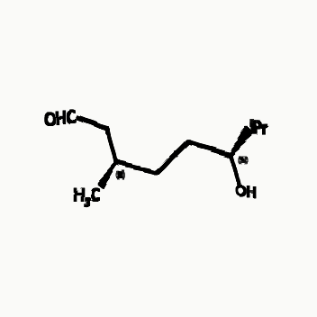 CC(C)[C@@H](O)CC[C@@H](C)CC=O